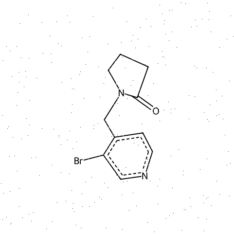 O=C1CCCN1Cc1ccncc1Br